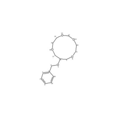 c1ccc(COC2COCCOCOCCOC2)cc1